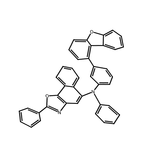 c1ccc(-c2nc3cc(N(c4ccccc4)c4cccc(-c5cccc6oc7ccccc7c56)c4)c4ccccc4c3o2)cc1